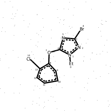 CCn1nc(Br)nc1Oc1ccccc1Cl